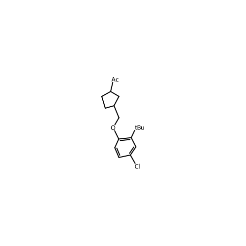 CC(=O)C1CCC(COc2ccc(Cl)cc2C(C)(C)C)C1